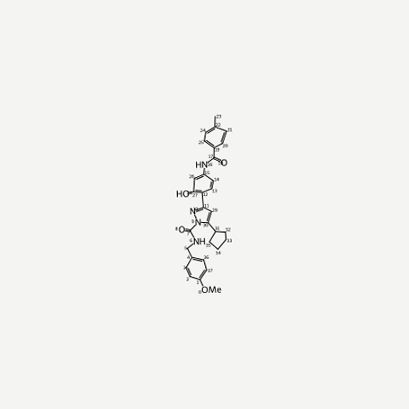 COc1ccc(CNC(=O)n2nc(-c3ccc(NC(=O)c4ccc(C)cc4)cc3O)cc2C2CCCC2)cc1